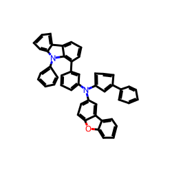 c1ccc(-c2cccc(N(c3cccc(-c4cccc5c6ccccc6n(-c6ccccc6)c45)c3)c3ccc4oc5ccccc5c4c3)c2)cc1